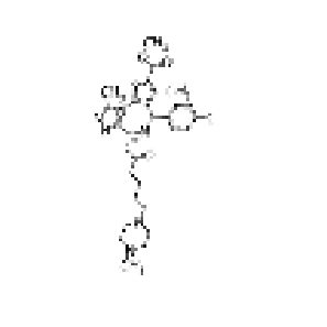 COC(=O)c1sc2c(c1C)C(c1ccc(Cl)cc1)=N[C@H](CC(=O)CCCCN1CCN(C)CC1)c1nnc(C)n1-2